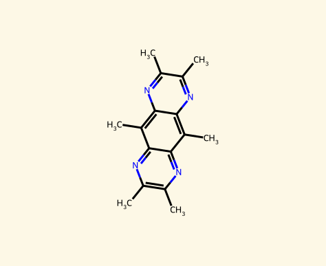 Cc1nc2c(C)c3nc(C)c(C)nc3c(C)c2nc1C